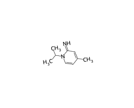 Cc1ccn(C(C)C)c(=N)c1